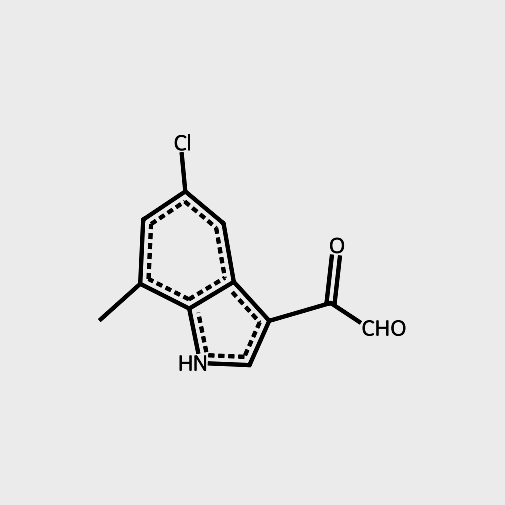 Cc1cc(Cl)cc2c(C(=O)C=O)c[nH]c12